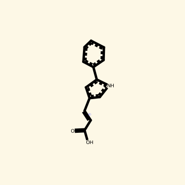 O=C(O)/C=C/c1c[nH]c(-c2ccccc2)c1